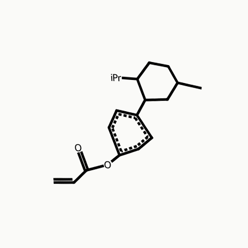 C=CC(=O)Oc1ccc(C2CC(C)CCC2C(C)C)cc1